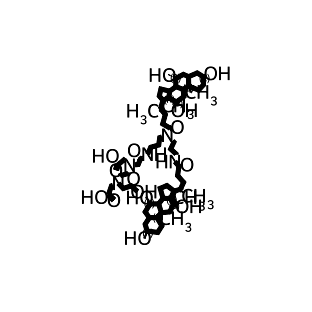 CC(CCC(=O)NCCCN(CCCNC(=O)CN(CCN(CC(=O)O)CC(=O)O)CC(=O)O)C(=O)CCC(C)C1CCC2C3C(C[C@H](O)[C@]12C)[C@@]1(C)CC[C@@H](O)CC1C[C@H]3O)C1CCC2C3C(C[C@H](O)[C@]12C)[C@@]1(C)CC[C@@H](O)CC1C[C@H]3O